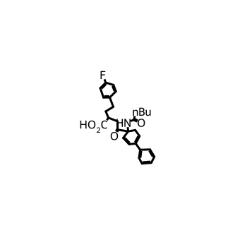 CCCCC(=O)NC1(C(=O)CC(CCc2ccc(F)cc2)C(=O)O)C=CC(c2ccccc2)=CC1